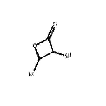 CCC1OC(=O)C1S